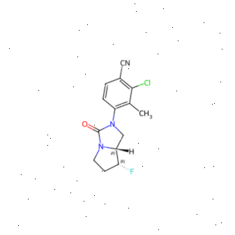 Cc1c(N2C[C@@H]3[C@H](F)CCN3C2=O)ccc(C#N)c1Cl